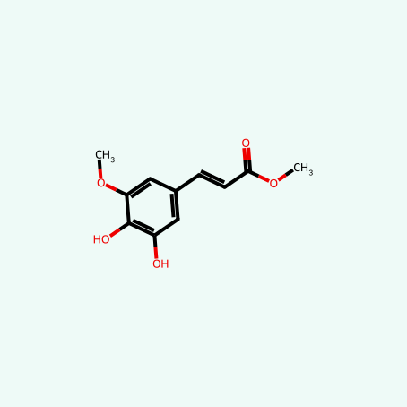 COC(=O)C=Cc1cc(O)c(O)c(OC)c1